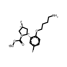 CC(C)(C)OC(=O)N1C[C@@H](F)C[C@@H]1c1cc(F)ccc1OCCCCN